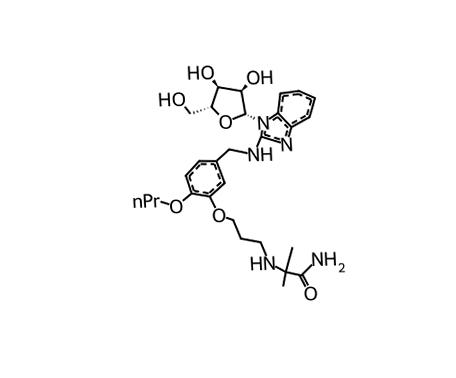 CCCOc1ccc(CNc2nc3ccccc3n2[C@@H]2O[C@H](CO)[C@@H](O)[C@H]2O)cc1OCCCNC(C)(C)C(N)=O